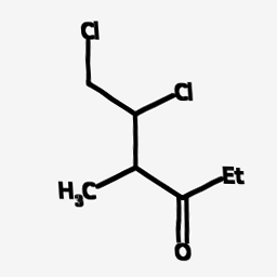 CCC(=O)C(C)C(Cl)CCl